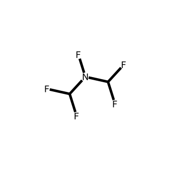 FC(F)N(F)C(F)F